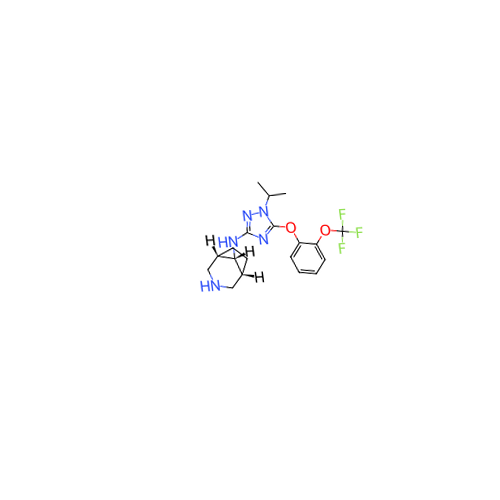 CC(C)n1nc(N[C@@H]2[C@@H]3CC[C@H]2CNC3)nc1Oc1ccccc1OC(F)(F)F